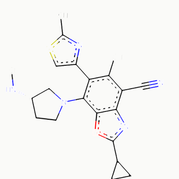 CN[C@H]1CCN(c2c(-c3csc(C)n3)c(C)c(C#N)c3nc(C4CC4)oc23)C1